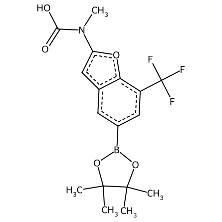 CN(C(=O)O)c1cc2cc(B3OC(C)(C)C(C)(C)O3)cc(C(F)(F)F)c2o1